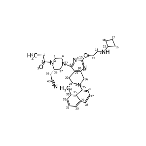 C=CC(=O)N1CCN(c2nc(OCCNC3CCC3)nc3c2CCN(c2cccc4cccc(C)c24)C3)C[C@@H]1CC#N